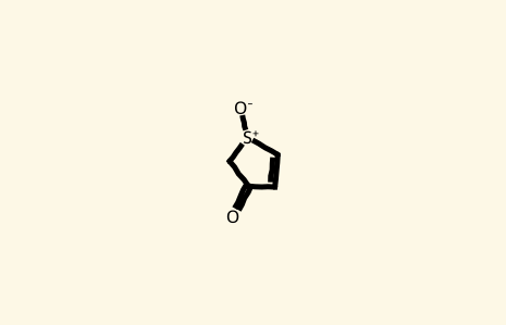 O=C1C=C[S+]([O-])C1